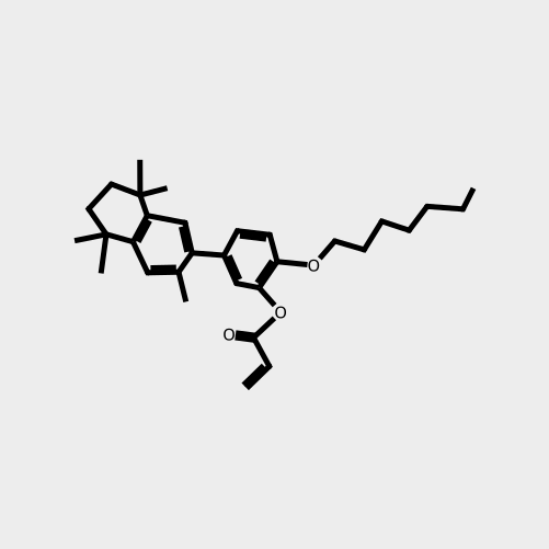 C=CC(=O)Oc1cc(-c2cc3c(cc2C)C(C)(C)CCC3(C)C)ccc1OCCCCCCC